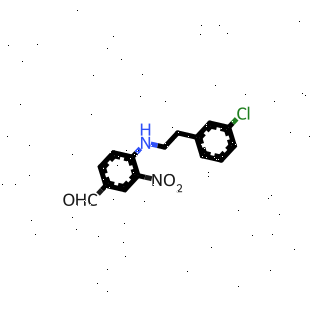 O=Cc1ccc(NCCc2cccc(Cl)c2)c([N+](=O)[O-])c1